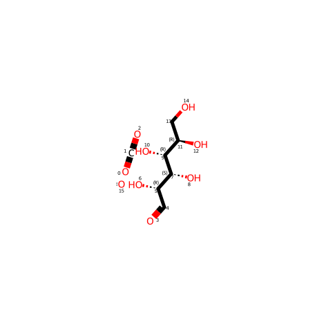 O=C=O.O=C[C@H](O)[C@@H](O)[C@H](O)[C@H](O)CO.[O]